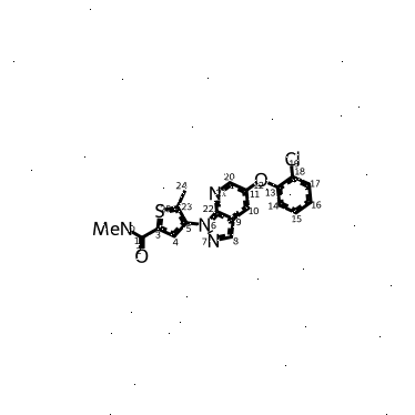 CNC(=O)c1cc(-n2ncc3cc(Oc4ccccc4Cl)cnc32)c(C)s1